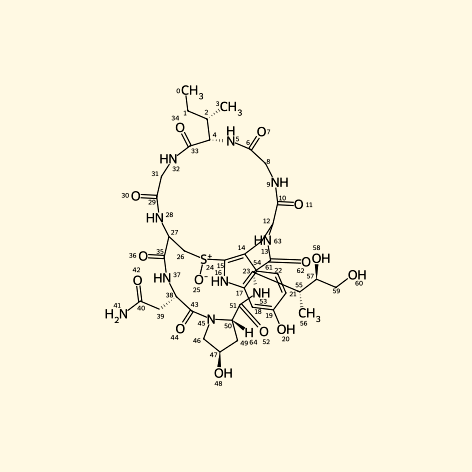 CC[C@H](C)[C@@H]1NC(=O)CNC(=O)C2Cc3c([nH]c4cc(O)ccc34)[S+]([O-])CC(NC(=O)CNC1=O)C(=O)N[C@@H](CC(N)=O)C(=O)N1C[C@H](O)C[C@H]1C(=O)N[C@@H]([C@@H](C)[C@@H](O)CO)C(=O)N2